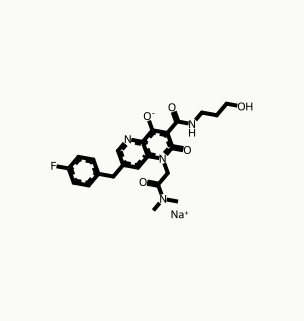 CN(C)C(=O)Cn1c(=O)c(C(=O)NCCCO)c([O-])c2ncc(Cc3ccc(F)cc3)cc21.[Na+]